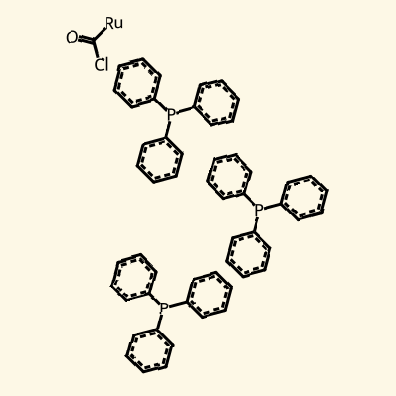 O=[C](Cl)[Ru].c1ccc(P(c2ccccc2)c2ccccc2)cc1.c1ccc(P(c2ccccc2)c2ccccc2)cc1.c1ccc(P(c2ccccc2)c2ccccc2)cc1